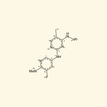 CCCNc1nc(Nc2cnc(NC)c(F)c2)ncc1I